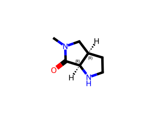 CN1C[C@H]2CCN[C@H]2C1=O